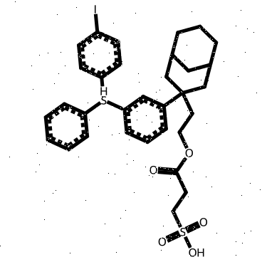 O=C(CCS(=O)(=O)O)OCCC1(c2cccc([SH](c3ccccc3)c3ccc(I)cc3)c2)CC2CCCC(C2)C1